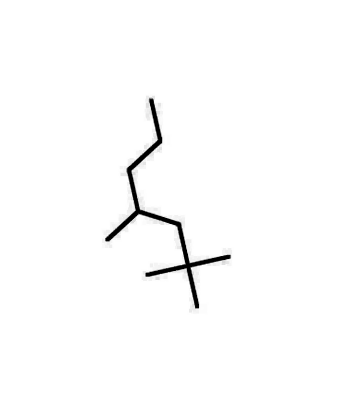 CCCC(C)CC(C)(C)C